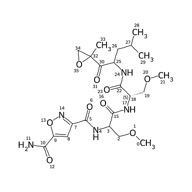 COCC(NC(=O)c1cc(C(N)=O)on1)C(=O)N[C@@H](COC)C(=O)NC(CC(C)C)C(=O)C1(C)CO1